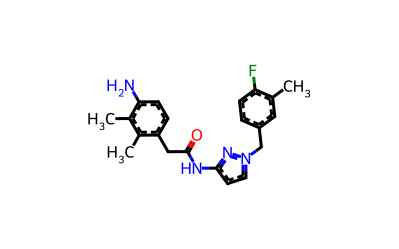 Cc1cc(Cn2ccc(NC(=O)Cc3ccc(N)c(C)c3C)n2)ccc1F